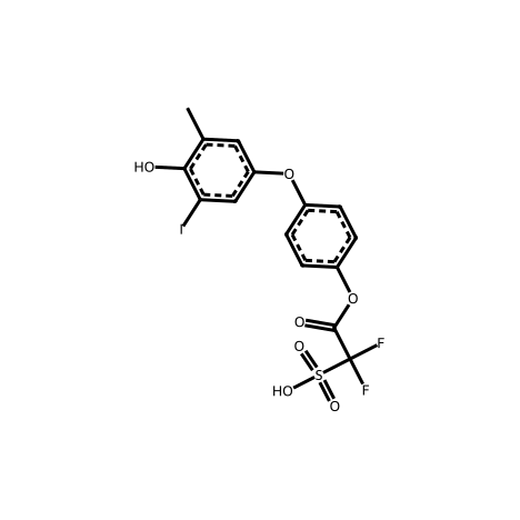 Cc1cc(Oc2ccc(OC(=O)C(F)(F)S(=O)(=O)O)cc2)cc(I)c1O